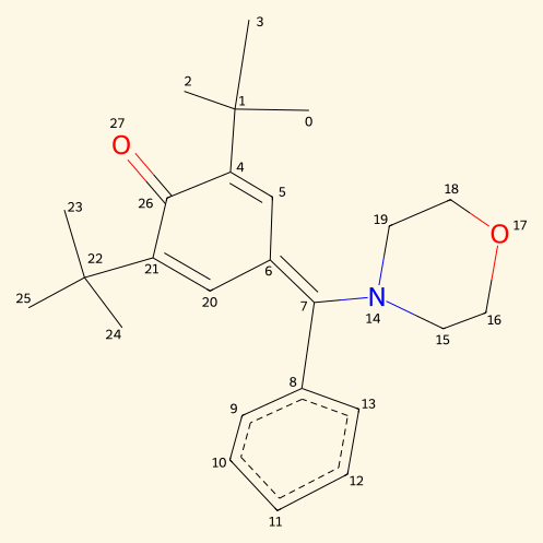 CC(C)(C)C1=CC(=C(c2ccccc2)N2CCOCC2)C=C(C(C)(C)C)C1=O